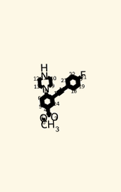 COC(=O)c1ccc(N2CCNCC2)c(C#Cc2ccc(F)cc2)c1